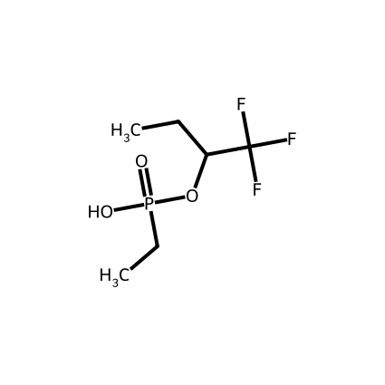 CCC(OP(=O)(O)CC)C(F)(F)F